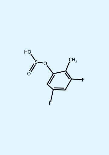 Cc1c(F)cc(F)cc1OS(=O)O